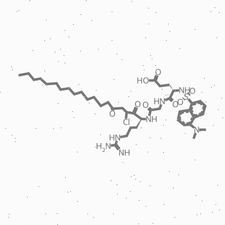 CCCCCCCCCCCCCCC(=O)CC(Cl)C(=O)[C@H](CCCNC(=N)N)NC(=O)CNC(=O)[C@H](CCC(=O)O)NS(=O)(=O)c1cccc2c(N(C)C)cccc12